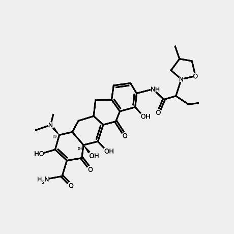 CCC(C(=O)Nc1ccc2c(c1O)C(=O)C1=C(O)[C@]3(O)C(=O)C(C(N)=O)=C(O)[C@@H](N(C)C)C3CC1C2)N1CC(C)CO1